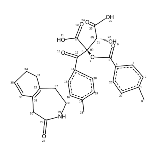 Cc1ccc(C(=O)O[C@](C(=O)O)(C(=O)c2ccc(C)cc2)[C@@H](O)C(=O)O)cc1.O=C1CC2=C(CCC=C2)CCN1